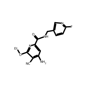 CCOc1nc(C(=O)NCc2ccc(F)nc2)cc(N)c1C#N